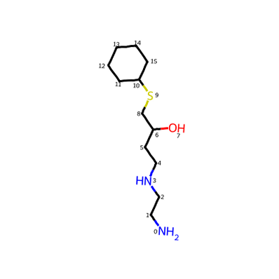 NCCNCCC(O)CSC1CCCCC1